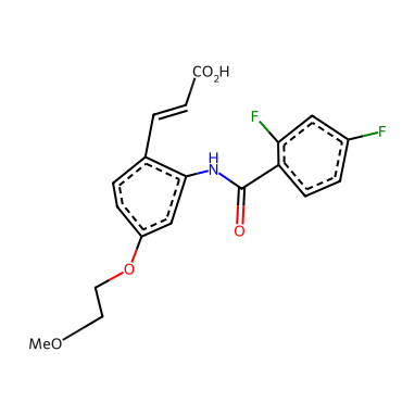 COCCOc1ccc(C=CC(=O)O)c(NC(=O)c2ccc(F)cc2F)c1